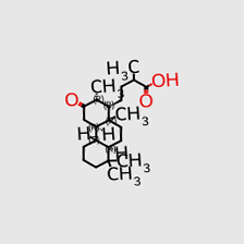 CC(CC[C@@H]1[C@@H](C)C(=O)C[C@@H]2[C@H]3CCCC(C)(C)[C@@H]3CC[C@]21C)C(=O)O